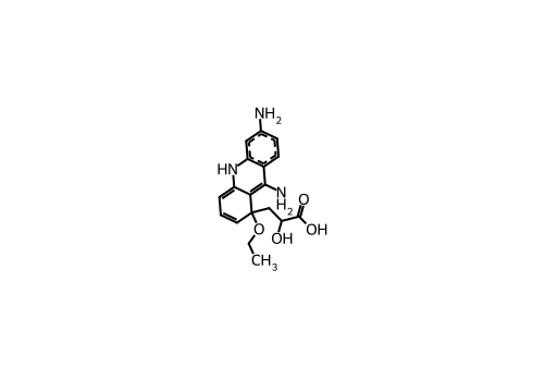 CCOC1(CC(O)C(=O)O)C=CC=C2Nc3cc(N)ccc3C(N)=C21